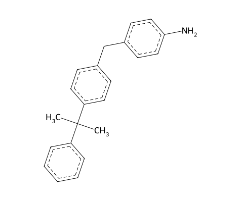 CC(C)(c1ccccc1)c1ccc(Cc2ccc(N)cc2)cc1